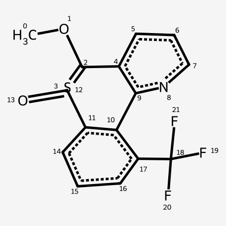 COC(=S)c1cccnc1-c1c(C=O)cccc1C(F)(F)F